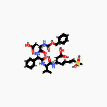 CC(C)C(NC(=O)[C@@H](NC(=O)[C@H](CC(=O)O)NC(=O)OCc1ccccc1)c1ccccc1)C(=O)N[C@H](/C=C/C=C/S(C)(=O)=O)CC(=O)O